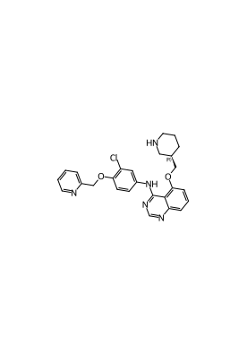 Clc1cc(Nc2ncnc3cccc(OC[C@@H]4CCCNC4)c23)ccc1OCc1ccccn1